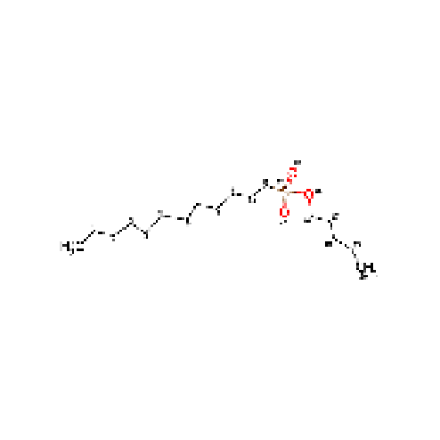 CCCCCCCCCCCCS(=O)(=O)OCCCCC